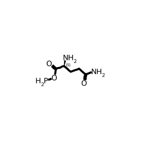 NC(=O)CC[C@H](N)C(=O)OP